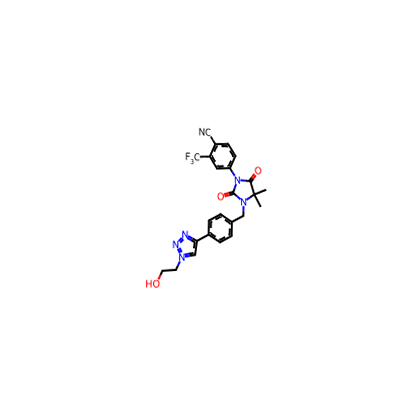 CC1(C)C(=O)N(c2ccc(C#N)c(C(F)(F)F)c2)C(=O)N1Cc1ccc(-c2cn(CCO)nn2)cc1